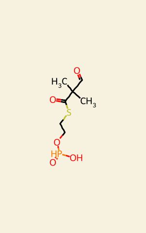 CC(C)(C=O)C(=O)SCCO[PH](=O)O